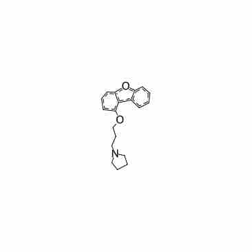 c1ccc2c(c1)oc1cccc(OCCCN3CCCC3)c12